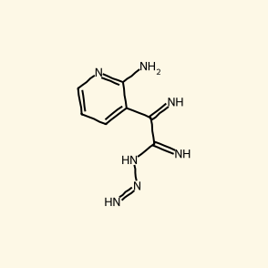 N=NNC(=N)C(=N)c1cccnc1N